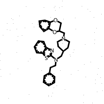 c1ccc(CCN(CC2CCN(CC3COc4ccccc4O3)CC2)c2nc3ccccc3s2)cc1